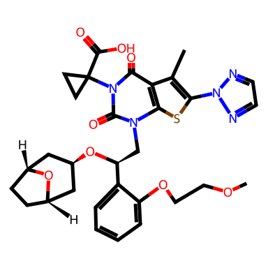 COCCOc1ccccc1[C@H](Cn1c(=O)n(C2(C(=O)O)CC2)c(=O)c2c(C)c(-n3nccn3)sc21)O[C@@H]1C[C@H]2CC[C@@H](C1)O2